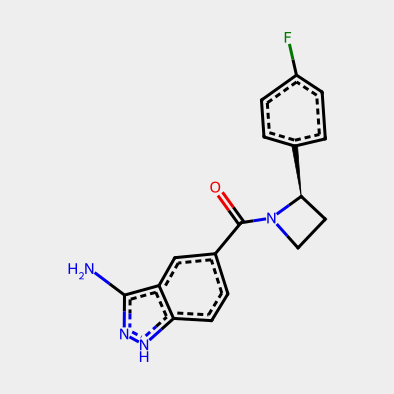 Nc1n[nH]c2ccc(C(=O)N3CC[C@@H]3c3ccc(F)cc3)cc12